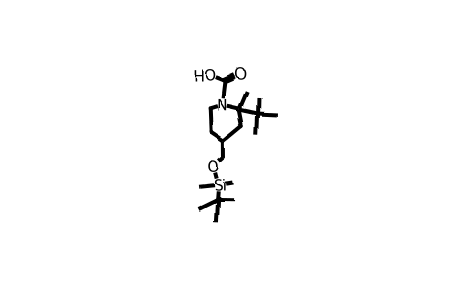 CC(C)(C)C1(C)CC(CO[Si](C)(C)C(C)(C)C)CCN1C(=O)O